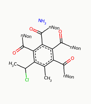 CCCCCCCCCC(=O)c1c(C)c(C(C)Cl)c(C(=O)CCCCCCCCC)c(C(=O)CCCCCCCCC)c1C(=O)CCCCCCCCC.N